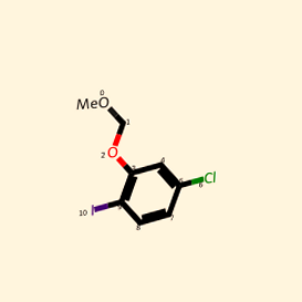 COCOc1cc(Cl)ccc1I